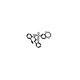 C#Cc1ccccc1C(NS(=O)(=O)c1ccc2c(c1)OCCCO2)c1cc2ccccc2o1